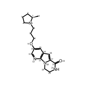 C[C@@H]1CCCN1CCCOc1cnc2c(c1)cc1n2CCNC1=O